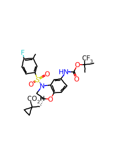 Cc1cc(S(=O)(=O)N2C[C@@H](CC3(C(=O)O)CC3)Oc3ccc(NC(=O)OC(C)(C)C(F)(F)F)cc32)ccc1F